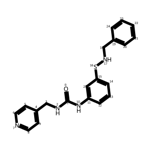 O=C(NCc1ccncc1)Nc1cccc(SNCc2ccccc2)c1